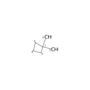 [CH]C1([CH])CCC1